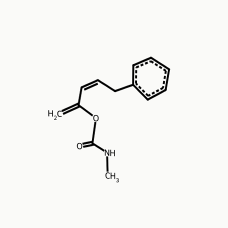 C=C(/C=C\Cc1ccccc1)OC(=O)NC